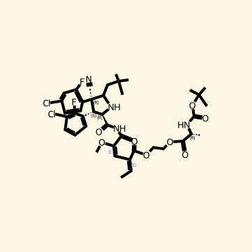 C=C(NC(=O)[C@@H]1NC(CC(C)(C)C)[C@](C#N)(c2ccc(Cl)cc2F)[C@H]1c1cccc(Cl)c1F)/C(=C\C(=C/C)C(=O)OCCOC(=O)[C@@H](C)NC(=O)OC(C)(C)C)OC